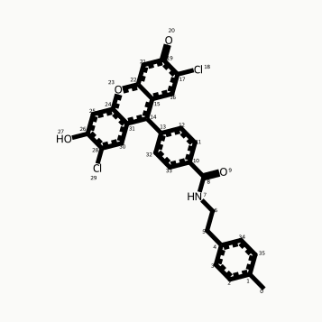 Cc1ccc(CCNC(=O)c2ccc(-c3c4cc(Cl)c(=O)cc-4oc4cc(O)c(Cl)cc34)cc2)cc1